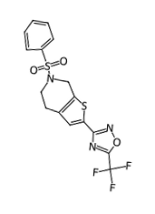 O=S(=O)(c1ccccc1)N1CCc2cc(-c3noc(C(F)(F)F)n3)sc2C1